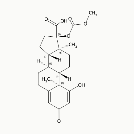 COC(=O)O[C@]1(C(=O)O)CC[C@H]2[C@@H]3CCC4=CC(=O)C=C(O)[C@]4(C)[C@H]3CC[C@@]21C